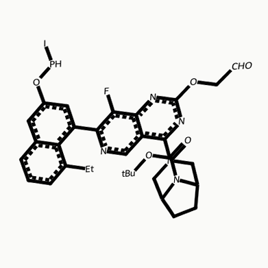 CCc1cccc2cc(OPI)cc(-c3ncc4c(N5CC6CCC(C5)N6C(=O)OC(C)(C)C)nc(OCC=O)nc4c3F)c12